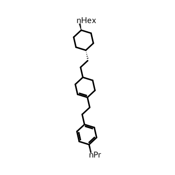 CCCCCC[C@H]1CC[C@H](CCC2CC=C(CCc3ccc(CCC)cc3)CC2)CC1